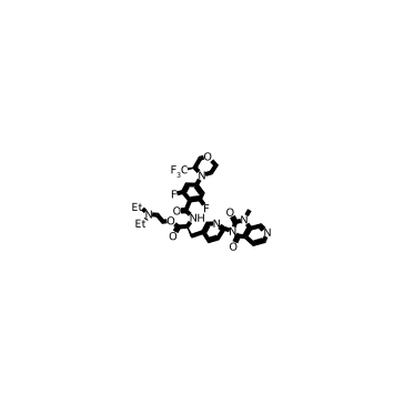 CCN(CC)CCOC(=O)[C@H](Cc1ccc(-n2c(=O)c3ccncc3n(C)c2=O)nc1)NC(=O)c1c(F)cc(N2CCOC[C@@H]2C(F)(F)F)cc1F